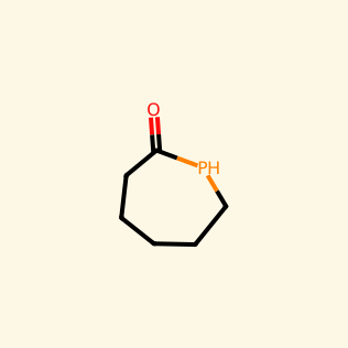 O=C1CCCCCP1